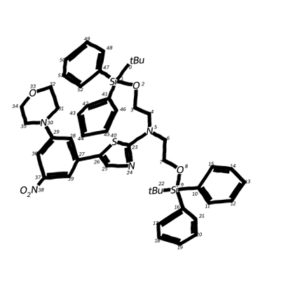 CC(C)(C)[Si](OCCN(CCO[Si](c1ccccc1)(c1ccccc1)C(C)(C)C)c1ncc(-c2cc(N3CCOCC3)cc([N+](=O)[O-])c2)s1)(c1ccccc1)c1ccccc1